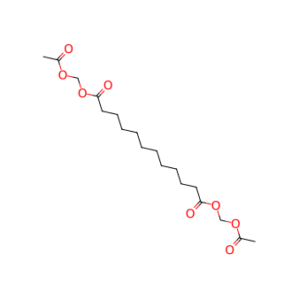 CC(=O)OCOC(=O)CCCCCCCCCCC(=O)OCOC(C)=O